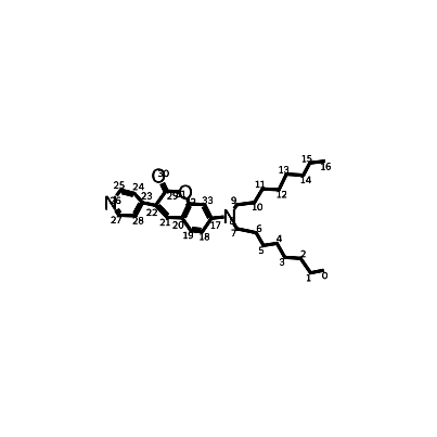 CCCCCCCCN(CCCCCCCC)c1ccc2cc(-c3ccncc3)c(=O)oc2c1